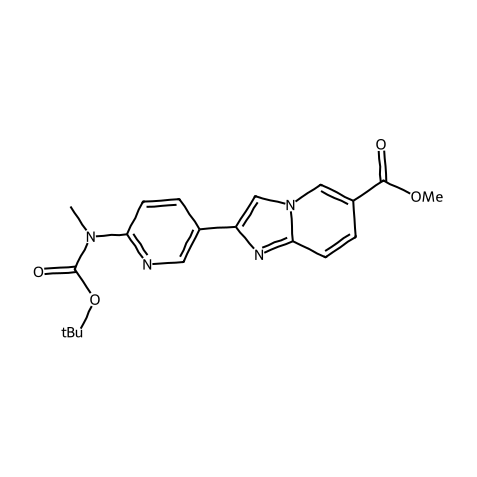 COC(=O)c1ccc2nc(-c3ccc(N(C)C(=O)OC(C)(C)C)nc3)cn2c1